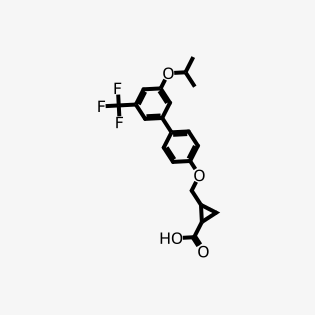 CC(C)Oc1cc(-c2ccc(OCC3CC3C(=O)O)cc2)cc(C(F)(F)F)c1